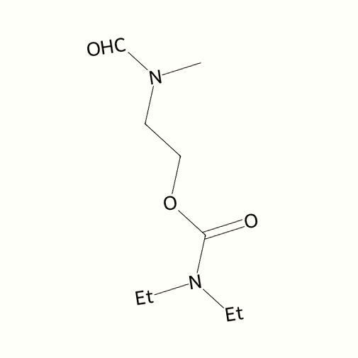 CCN(CC)C(=O)OCCN(C)C=O